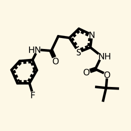 CC(C)(C)OC(=O)Nc1ncc(CC(=O)Nc2cccc(F)c2)s1